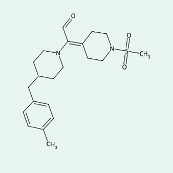 Cc1ccc(CC2CCN(C(C=O)=C3CCN(S(C)(=O)=O)CC3)CC2)cc1